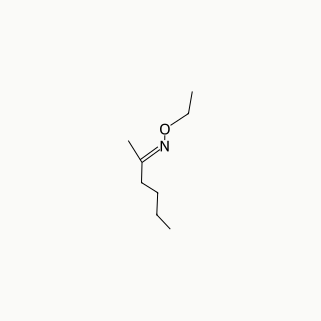 CCCCC(C)=NOCC